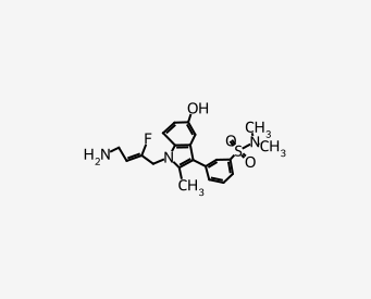 Cc1c(-c2cccc(S(=O)(=O)N(C)C)c2)c2cc(O)ccc2n1CC(F)=CCN